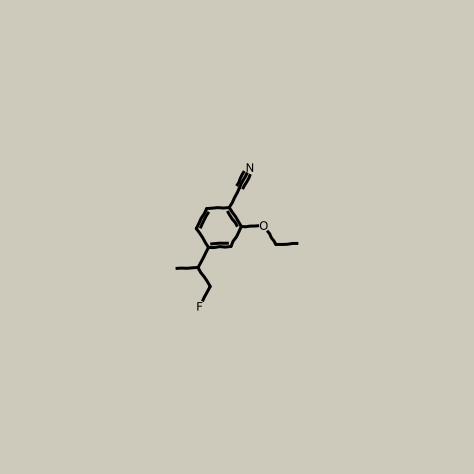 CCOc1cc([C](C)CF)ccc1C#N